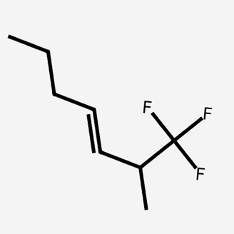 CCCC=CC(C)C(F)(F)F